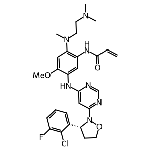 C=CC(=O)Nc1cc(Nc2cc(N3OCC[C@@H]3c3cccc(F)c3Cl)ncn2)c(OC)cc1N(C)CCN(C)C